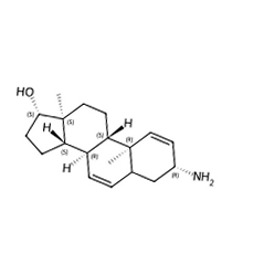 C[C@]12CC[C@H]3[C@@H](C=CC4C[C@@H](N)C=C[C@@]43C)[C@@H]1CC[C@@H]2O